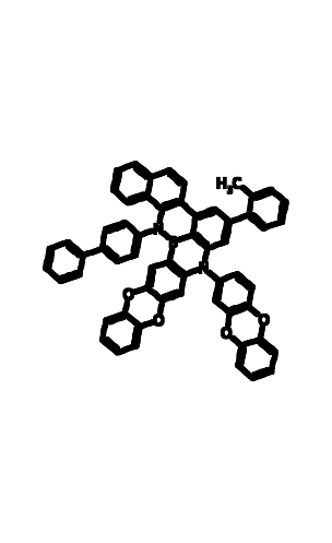 Cc1ccccc1-c1cc2c3c(c1)N(c1ccc4c(c1)Oc1ccccc1O4)c1cc4c(cc1B3N(c1ccc(-c3ccccc3)cc1)c1c-2ccc2ccccc12)Oc1ccccc1O4